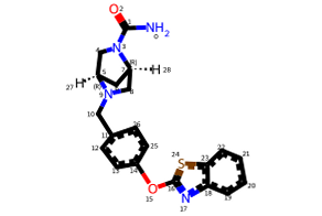 NC(=O)N1C[C@H]2C[C@@H]1CN2Cc1ccc(Oc2nc3ccccc3s2)cc1